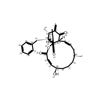 C=C1C(=O)[C@@H]2/C=C\C[C@H](C)CCC[C@@H](O)/C=C\C(=O)OC23C(=O)N[C@@H](Cc2ccccc2)C3[C@@H]1C